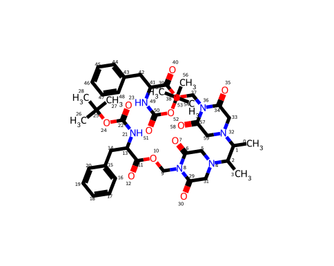 CC(C(C)N1CC(=O)N(COC(=O)C(Cc2ccccc2)NC(=O)OC(C)(C)C)C(=O)C1)N1CC(=O)N(COC(=O)C(Cc2ccccc2)NC(=O)OC(C)(C)C)C(=O)C1